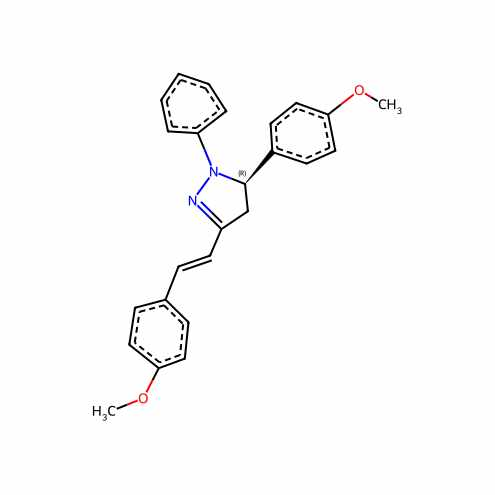 COc1ccc(C=CC2=NN(c3ccccc3)[C@@H](c3ccc(OC)cc3)C2)cc1